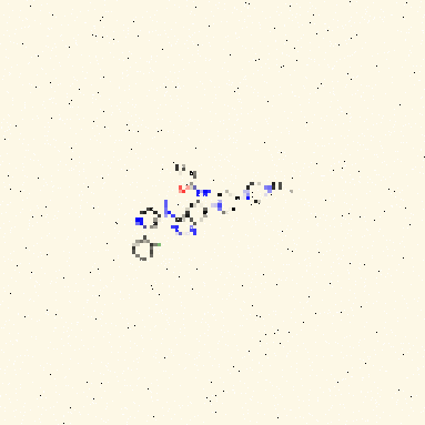 C=CC(=O)Nc1cc2c(Nc3ccnc(-c4ccccc4F)c3)ncnc2cc1N1CCC(N2CCN(C)CC2)CC1